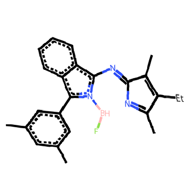 CCC1=C(C)/C(=N/c2c3ccccc3c(-c3cc(C)cc(C)c3)n2BF)N=C1C